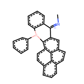 C/N=C1\c2ccccc2B(c2ccccc2)c2c1cc1ccc3cccc4ccc2c1c34